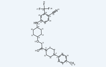 Cc1ccc(N2CCN(C(=O)COC3CCC(Nc4ccc(C#N)c(C(F)(F)F)c4)CC3)CC2)cc1